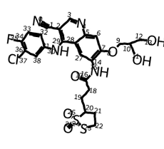 N#Cc1cnc2cc(OCC(O)CO)c(NC(=O)CCC3CCSS3(=O)=O)cc2c1Nc1ccc(F)c(Cl)c1